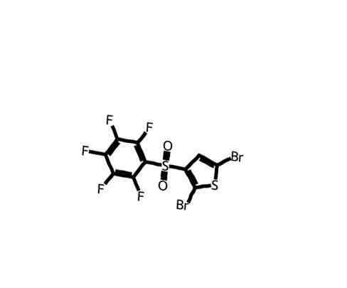 O=S(=O)(c1cc(Br)sc1Br)c1c(F)c(F)c(F)c(F)c1F